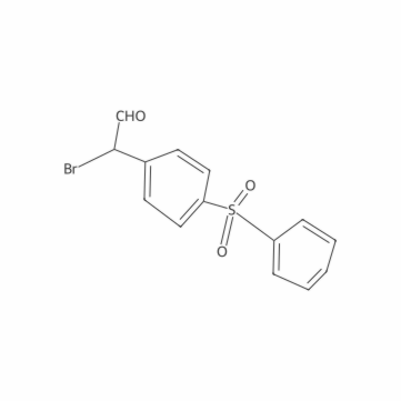 O=CC(Br)c1ccc(S(=O)(=O)c2ccccc2)cc1